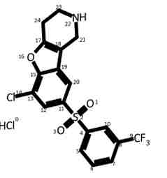 Cl.O=S(=O)(c1cccc(C(F)(F)F)c1)c1cc(Cl)c2oc3c(c2c1)CNCC3